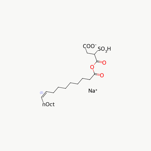 CCCCCCCC/C=C\CCCCCCCC(=O)OC(=O)C(CC(=O)[O-])S(=O)(=O)O.[Na+]